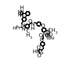 CCCc1nc2c(C)cc(C(=O)NCc3ccc(Oc4ccc(NC(=O)COc5ccc(CC6SC(=O)NC6=O)cc5)c(N(C)C(=O)OC(C)(C)C)c4)cc3)cc2n1Cc1ccc(-c2ccccc2-c2nnn[nH]2)cc1